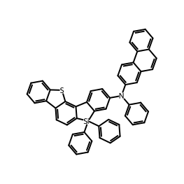 c1ccc(N(c2ccc3c(c2)[Si](c2ccccc2)(c2ccccc2)c2ccc4c(sc5ccccc54)c2-3)c2ccc3c(ccc4ccccc43)c2)cc1